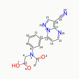 CC(=O)N(CC(=O)O)c1cccc(-c2ccnc3c(C#N)cnn23)c1